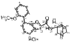 COc1ccccc1-c1cccc2cc(C(=O)N[C@@H]3CN4CCC3CC4)oc12.Cl